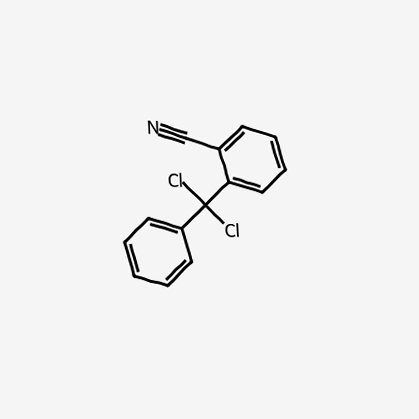 N#Cc1ccccc1C(Cl)(Cl)c1ccccc1